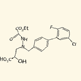 CCOC(=O)C(=O)NN(Cc1ccc(-c2cc(Cl)ccc2F)cc1)C[C@@H](O)C(=O)O